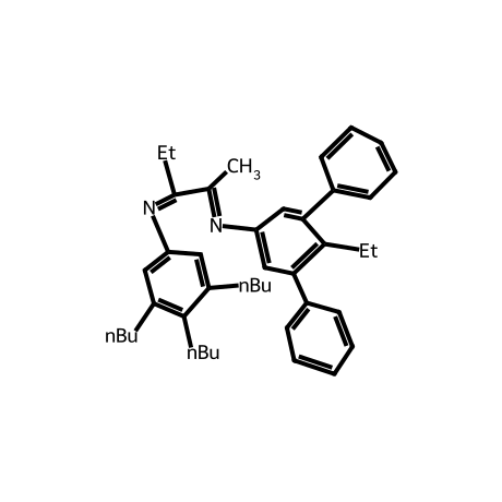 CCCCc1cc(N=C(CC)C(C)=Nc2cc(-c3ccccc3)c(CC)c(-c3ccccc3)c2)cc(CCCC)c1CCCC